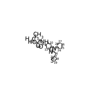 CC(C)C[C@H](NC(=O)c1ccc2c(c1)nc(Cc1ccsc1)n2-c1ccccc1)C(=O)O